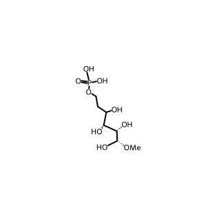 CO[C@H](O)[C@@H](O)[C@H](O)C(O)CCOP(=O)(O)O